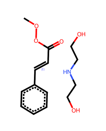 COOC(=O)/C=C/c1ccccc1.OCCNCCO